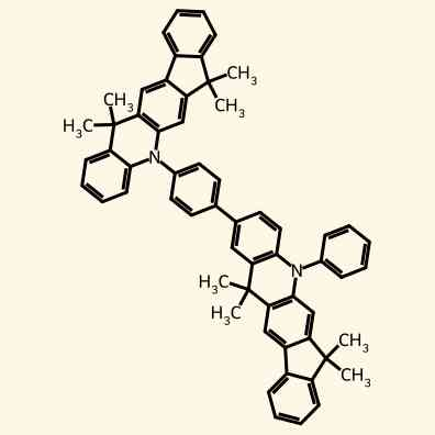 CC1(C)c2ccccc2-c2cc3c(cc21)N(c1ccc(-c2ccc4c(c2)C(C)(C)c2cc5c(cc2N4c2ccccc2)C(C)(C)c2ccccc2-5)cc1)c1ccccc1C3(C)C